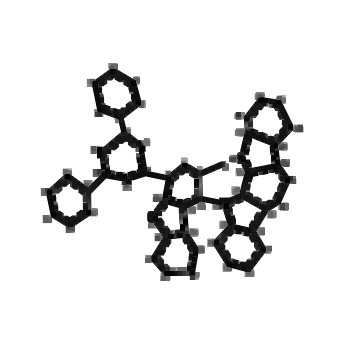 Cc1cc(-c2nc(-c3ccccc3)nc(-c3ccccc3)n2)c2oc3ccccc3c2c1-n1c2ccccc2c2ccc3c4ccccc4sc3c21